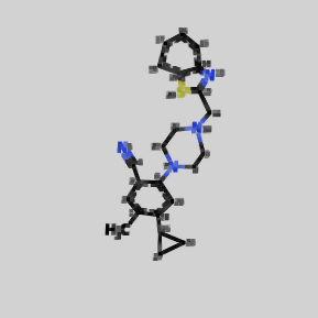 Cc1cc(C#N)c(N2CCN(Cc3nc4ccccc4s3)CC2)cc1C1CC1